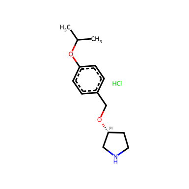 CC(C)Oc1ccc(CO[C@@H]2CCNC2)cc1.Cl